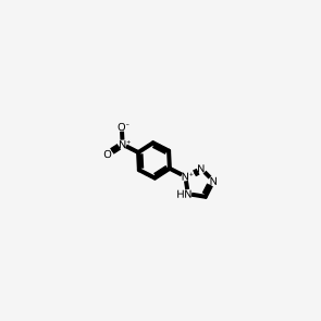 O=[N+]([O-])c1ccc(-[n+]2nnc[nH]2)cc1